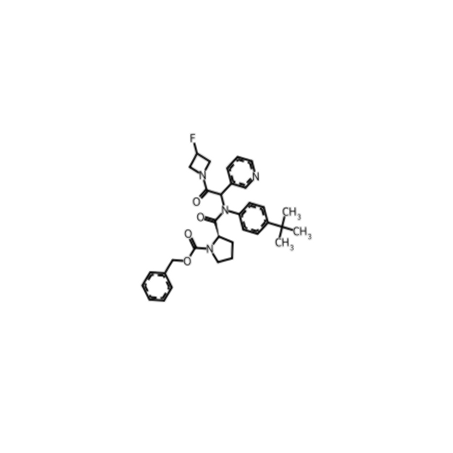 CC(C)(C)c1ccc(N(C(=O)[C@H]2CCCN2C(=O)OCc2ccccc2)C(C(=O)N2CC(F)C2)c2cccnc2)cc1